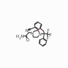 N#Cc1cccc(CC(c2ccccc2)(N2CCN(CC(N)=O)CC2)C(F)(F)F)c1